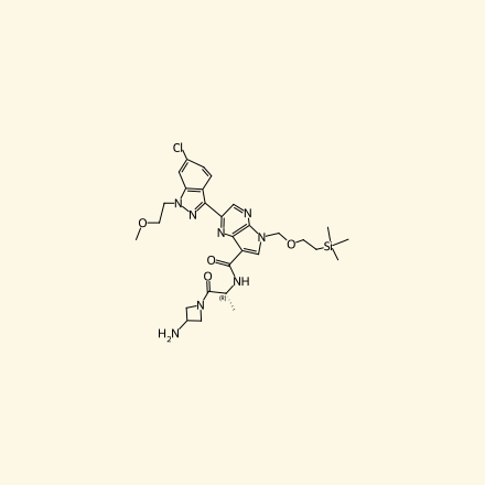 COCCn1nc(-c2cnc3c(n2)c(C(=O)N[C@H](C)C(=O)N2CC(N)C2)cn3COCC[Si](C)(C)C)c2ccc(Cl)cc21